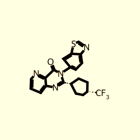 O=c1c2ncccc2nc([C@H]2CC[C@@H](C(F)(F)F)CC2)n1-c1ccc2ncsc2c1